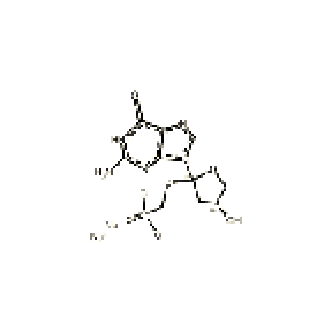 Nc1nc2c(ncn2[C@@]2(OCP(=O)([O-])[O-])C[C@H](O)CO2)c(=O)[nH]1.[Na+].[Na+]